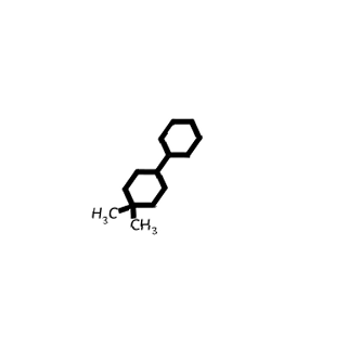 CC1(C)CCC(C2CCCCC2)CC1